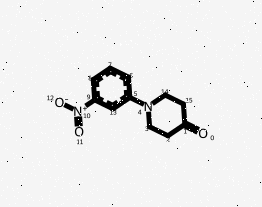 O=C1CCN(c2cccc([N+](=O)[O-])c2)CC1